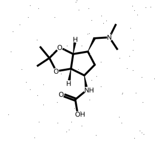 CN(C)C[C@H]1C[C@@H](NC(=O)O)[C@@H]2OC(C)(C)O[C@H]12